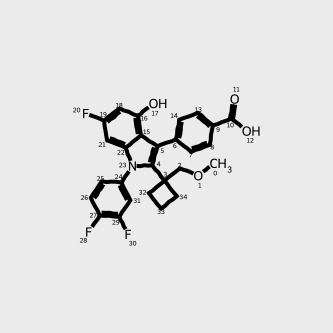 COCC1(c2c(-c3ccc(C(=O)O)cc3)c3c(O)cc(F)cc3n2-c2ccc(F)c(F)c2)CCC1